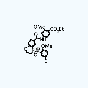 CCOC(=O)c1ccc(NC(=O)c2ccc3c(c2)N(S(=O)(=O)c2cc(Cl)ccc2OC)CCO3)cc1OC